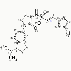 CN(C)C1CCc2cc(N3CCC(NS(=O)(=O)/C=C/c4ccc(Cl)s4)C3=O)ccc21